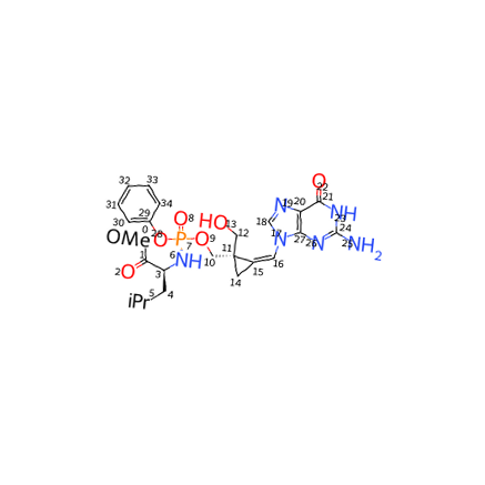 COC(=O)[C@H](CC(C)C)N[P@](=O)(OC[C@@]1(CO)C/C1=C/n1cnc2c(=O)[nH]c(N)nc21)Oc1ccccc1